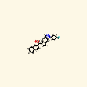 C[C@]12Cc3cnn(-c4ccc(F)cc4)c3C=C1CC[C@@H]2[C@H](O)c1ccc2ccccc2c1